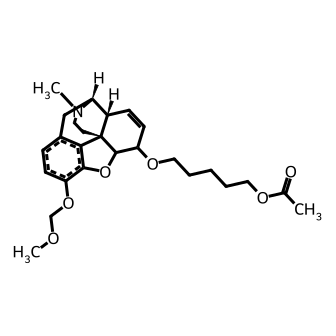 COCOc1ccc2c3c1OC1C(OCCCCCOC(C)=O)C=C[C@H]4[C@@H](C2)N(C)CC[C@]314